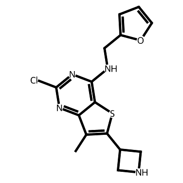 Cc1c(C2CNC2)sc2c(NCc3ccco3)nc(Cl)nc12